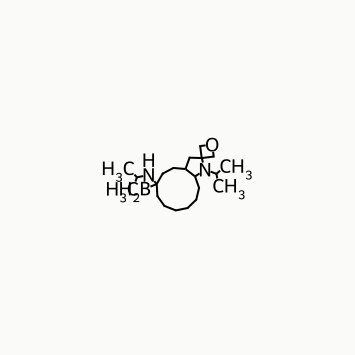 BC1(NC(C)C)CCCCCCC2C(CC1)CC1(COC1)N2C(C)C